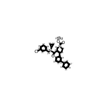 CC(C)(C)OC(=O)N1CCC(c2cccc(-c3ccccc3)c2)=C(C(=O)N(Cc2cccc(Cl)c2)C2CC2)C1